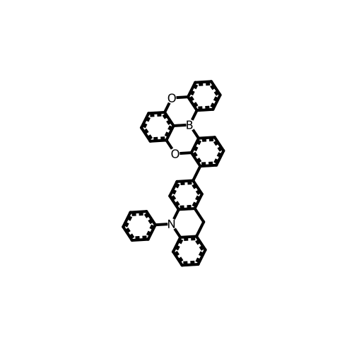 c1ccc(N2c3ccccc3Cc3cc(-c4cccc5c4Oc4cccc6c4B5c4ccccc4O6)ccc32)cc1